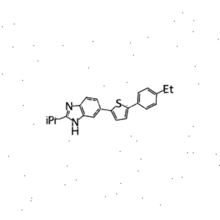 CCc1ccc(-c2ccc(-c3ccc4nc(C(C)C)[nH]c4c3)s2)cc1